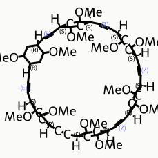 COC1C[C@H]2/C=C/[C@H]3CC(OC)[C@@H](/C=C/[C@@H]4CC(OC)[C@@H](/C=C\[C@@H]5CC(OC)[C@H](/C=C\[C@@H]6CC(OC)[C@@H](/C=C\[C@H]7CC(OC)[C@@H](CC[C@@H]1CC2OC)CC7OC)CC6OC)CC5OC)CC4OC)CC3OC